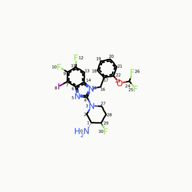 N[C@@H]1CN(c2nc3c(I)c(F)c(F)cc3n2Cc2ccccc2OC(F)F)CC[C@H]1F